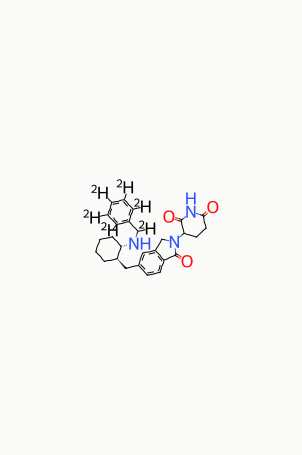 [2H]c1c([2H])c([2H])c(C([2H])N[C@H]2CCCC[C@@H]2Cc2ccc3c(c2)CN(C2CCC(=O)NC2=O)C3=O)c([2H])c1[2H]